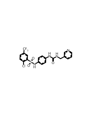 O=C(NCc1cccnc1)Nc1ccc(NS(=O)(=O)c2cc(C(F)(F)F)ccc2Cl)cc1